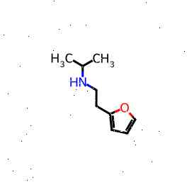 CC(C)NCCc1ccco1